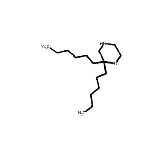 CCCCCCC1(CCCCCC)CNCCO1